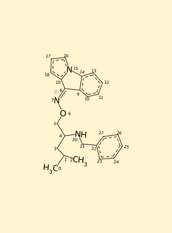 CC(C)CC(CO/N=C1\c2ccccc2-n2cccc21)NCc1ccccc1